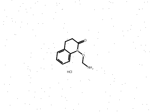 Cl.NCON1C(=O)CCc2ccccc21